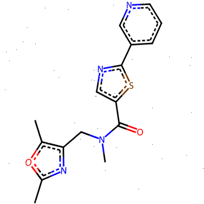 Cc1nc(CN(C)C(=O)c2cnc(-c3cccnc3)s2)c(C)o1